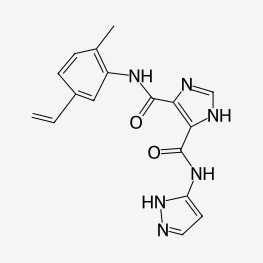 C=Cc1ccc(C)c(NC(=O)c2nc[nH]c2C(=O)Nc2ccn[nH]2)c1